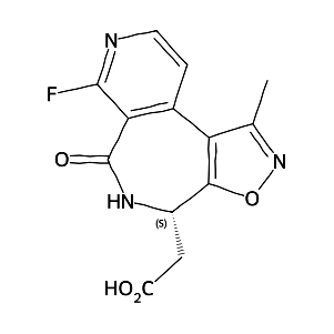 Cc1noc2c1-c1ccnc(F)c1C(=O)N[C@H]2CC(=O)O